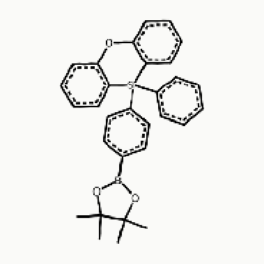 CC1(C)OB(c2ccc([Si]3(c4ccccc4)c4ccccc4Oc4ccccc43)cc2)OC1(C)C